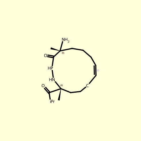 CC(C)C(=O)[C@@]1(C)CCC/C=C\CCC[C@@](C)(N)C(=O)PN1